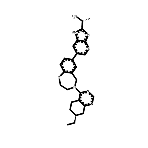 CC[C@H]1CCc2c(ncnc2N2CCOc3ccc(-c4cnc5nc([C@@H](C)N)[nH]c5c4)cc3C2)C1